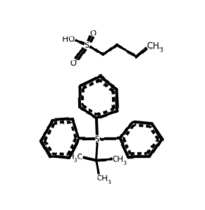 CC(C)(C)S(c1ccccc1)(c1ccccc1)c1ccccc1.CCCCS(=O)(=O)O